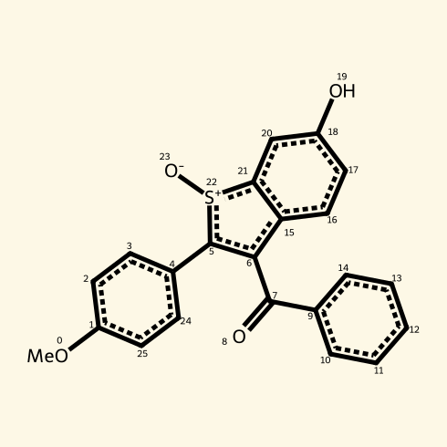 COc1ccc(-c2c(C(=O)c3ccccc3)c3ccc(O)cc3[s+]2[O-])cc1